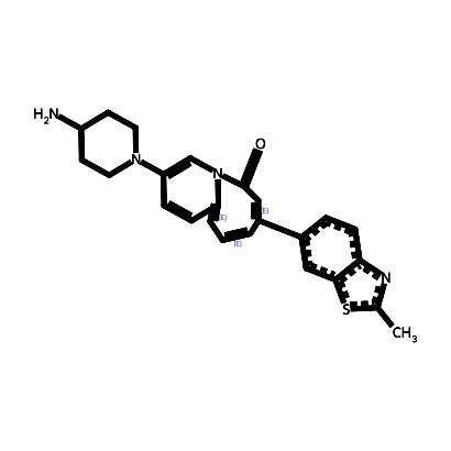 Cc1nc2ccc(C3=C\C(=O)N4C=C(N5CCC(N)CC5)C=C\C4=C/C=C/3)cc2s1